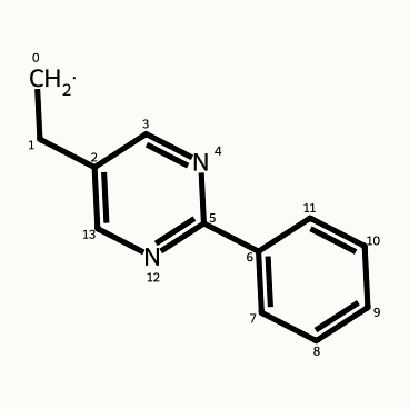 [CH2]Cc1cnc(-c2ccccc2)nc1